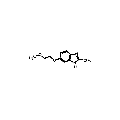 COCCOc1ccc2nc(C)[nH]c2c1